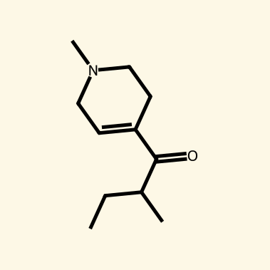 CCC(C)C(=O)C1=CCN(C)CC1